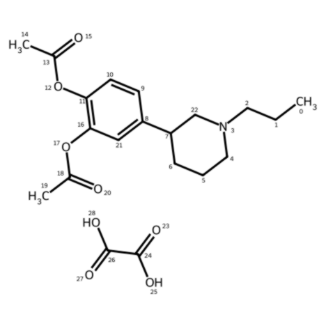 CCCN1CCCC(c2ccc(OC(C)=O)c(OC(C)=O)c2)C1.O=C(O)C(=O)O